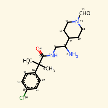 CC(C)(C(=O)NCC(N)C1CCN(C=O)CC1)c1ccc(Cl)cc1